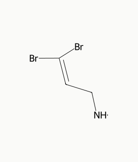 [NH]CC=C(Br)Br